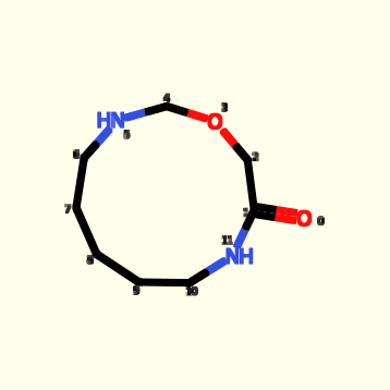 O=C1COCNCCCCCN1